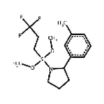 CO[Si](CCC(F)(F)F)(OC)N1CCCC1c1cccc(C)c1